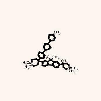 Cc1ccc(-c2ccc(-c3ccc(C4(c5ccc6c(c5)C(C)(C)c5cc(C7(C)CC[N+](C)(C)CC7)ccc5-6)CC[N+](C)(C)CC4)cc3)cc2)cc1